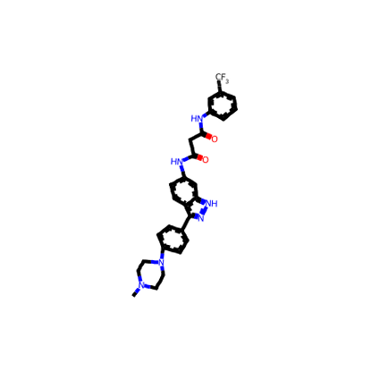 CN1CCN(c2ccc(-c3n[nH]c4cc(NC(=O)CC(=O)Nc5cccc(C(F)(F)F)c5)ccc34)cc2)CC1